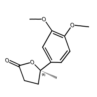 COc1ccc([C@@]2(C)CCC(=O)O2)cc1OC